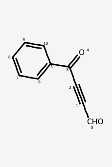 O=CC#CC(=O)c1ccccc1